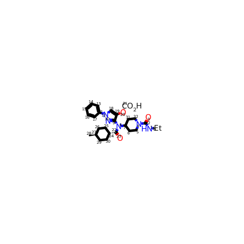 CCNC(=O)N1CCC(N(c2nn(-c3ccccc3)cc2OC(=O)O)C(=O)[C@H]2CC[C@H](C)CC2)CC1